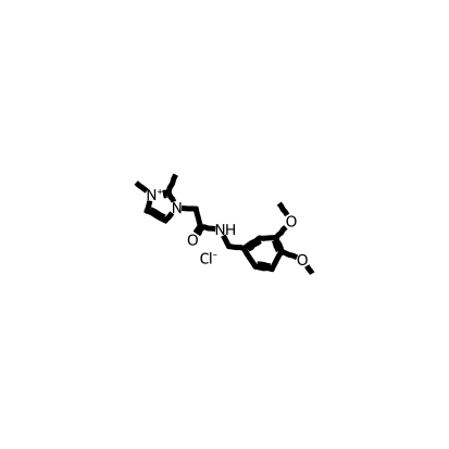 COc1ccc(CNC(=O)Cn2cc[n+](C)c2C)cc1OC.[Cl-]